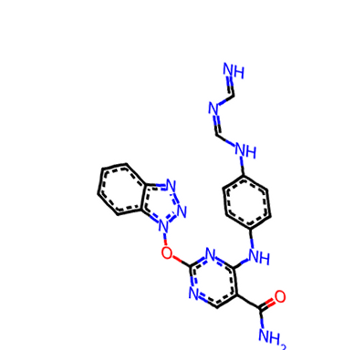 N=C/N=C\Nc1ccc(Nc2nc(On3nnc4ccccc43)ncc2C(N)=O)cc1